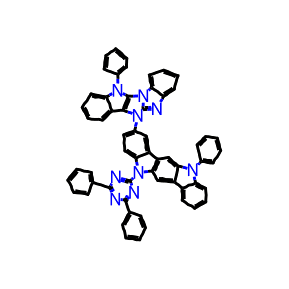 c1ccc(-c2nc(-c3ccccc3)nc(-n3c4ccc(-n5c6c7ccccc7n(-c7ccccc7)c6n6c7ccccc7nc56)cc4c4cc5c(cc43)c3ccccc3n5-c3ccccc3)n2)cc1